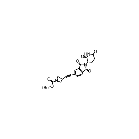 CC(C)(C)OC(=O)N1CC(C#Cc2ccc3c(c2)C(=O)N(C2CCC(=O)NC2=O)C3=O)C1